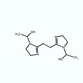 CC(O)N1CCN=C1CCC1=NCCN1C(C)O